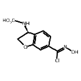 O=C(O)N[C@@H]1COc2cc(/C(Cl)=N/O)ccc21